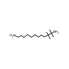 CC(C)(N)C(C)(C)CCCCCCCCCN